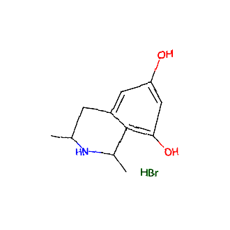 Br.CC1Cc2cc(O)cc(O)c2C(C)N1